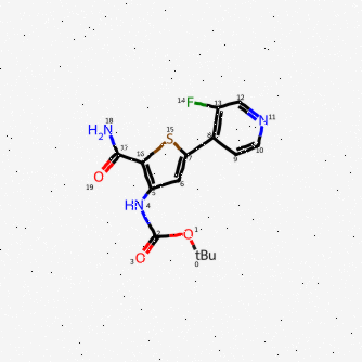 CC(C)(C)OC(=O)Nc1cc(-c2ccncc2F)sc1C(N)=O